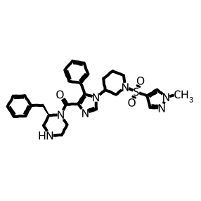 Cn1cc(S(=O)(=O)N2CCCC(n3cnc(C(=O)N4CCNC[C@H]4Cc4ccccc4)c3-c3ccccc3)C2)cn1